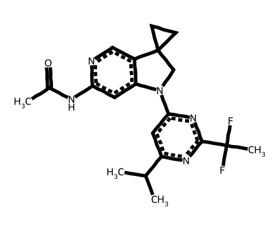 CC(=O)Nc1cc2c(cn1)C1(CC1)CN2c1cc(C(C)C)nc(C(C)(F)F)n1